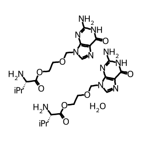 CC(C)[C@H](N)C(=O)OCCOCn1cnc2c(=O)[nH]c(N)nc21.CC(C)[C@H](N)C(=O)OCCOCn1cnc2c(=O)[nH]c(N)nc21.O